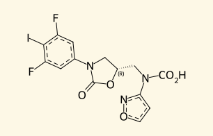 O=C1O[C@@H](CN(C(=O)O)c2ccon2)CN1c1cc(F)c(I)c(F)c1